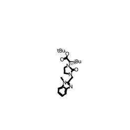 CC[C@H](C)[C@@H](C(=O)OC(C)(C)C)N1CCN(Cc2nc3ccccc3n2C)C1=O